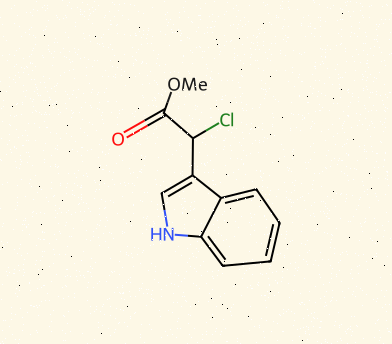 COC(=O)C(Cl)c1c[nH]c2ccccc12